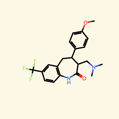 COc1ccc(C2Cc3cc(C(F)(F)F)ccc3NC(=O)C2CN(C)C)cc1